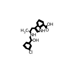 C[C@H](Cc1c[nH]c2c(C(=O)O)cccc12)NC[C@H](O)c1cccc(Cl)c1